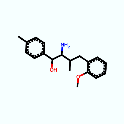 COc1ccccc1CC(C)C(N)C(O)c1ccc(C)cc1